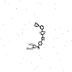 CO[C@H]1CN(C(=O)C2CCC(n3cc(-c4cnc(-c5cccc(-c6cnn(C)c6)c5)nc4)cn3)CC2)C[C@@H]1O